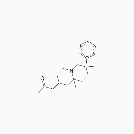 CC(=O)CC1CCN2CC(C)(c3ccccc3)CCC2(C)C1